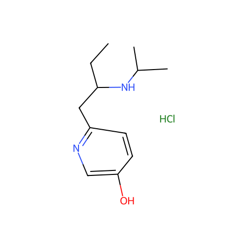 CCC(Cc1ccc(O)cn1)NC(C)C.Cl